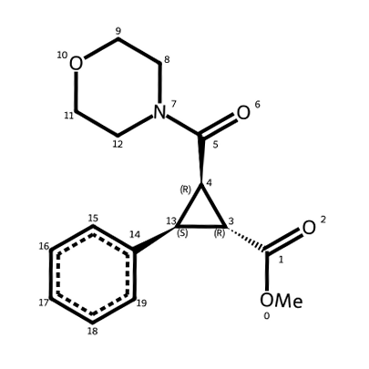 COC(=O)[C@H]1[C@H](C(=O)N2CCOCC2)[C@@H]1c1ccccc1